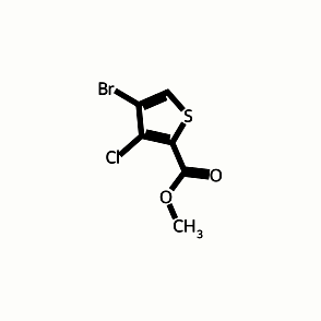 COC(=O)c1scc(Br)c1Cl